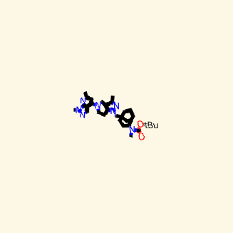 Cc1cc(N2CCc3c(c(C)nn3CC34CCCC(C3)C(N(C)C(=O)OC(C)(C)C)CC4)C2)c2cnn(C)c2n1